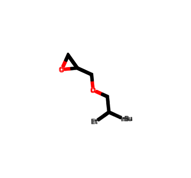 CCCCC(CC)COCC1CO1